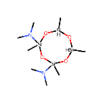 CN(C)[Si]1(C)O[SiH](C)O[SiH](C)O[Si](C)(N(C)C)O1